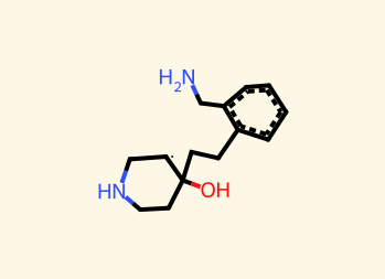 NCc1ccccc1CCC1(O)[CH]CNCC1